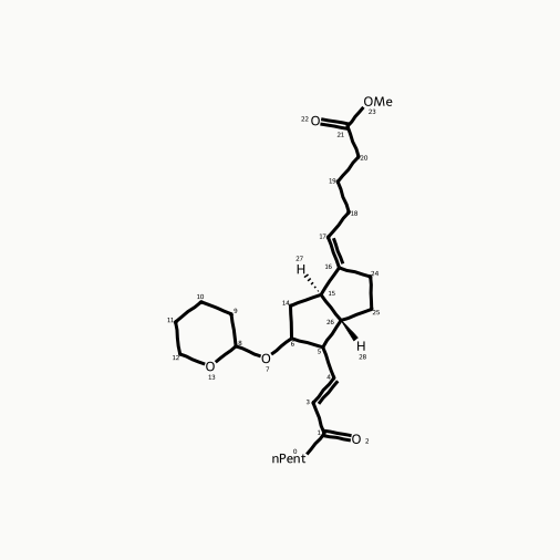 CCCCCC(=O)C=CC1C(OC2CCCCO2)C[C@H]2C(=CCCCC(=O)OC)CC[C@H]12